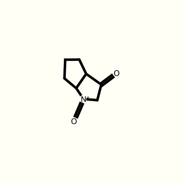 O=C1C[N+](=O)C2CCCC12